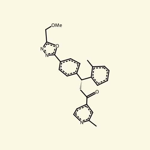 COCc1nnc(-c2ccc([C@@H](CC(=O)c3ccnc(C)c3)c3ccccc3C)cc2)o1